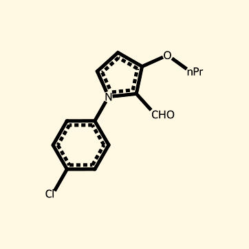 CCCOc1ccn(-c2ccc(Cl)cc2)c1C=O